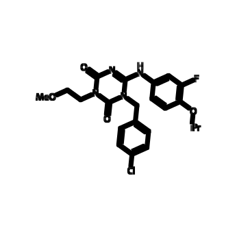 COCCn1c(=O)nc(Nc2ccc(OC(C)C)c(F)c2)n(Cc2ccc(Cl)cc2)c1=O